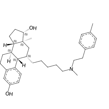 Cc1ccc(CCN(C)CCCCC[C@H]2C[C@]3(C)[C@@H](O)CC[C@H]3[C@@H]3CCc4cc(O)ccc4[C@@H]23)cc1